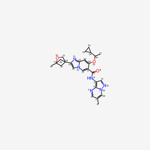 Cc1cnc2c(NC(=O)c3cn4cc(C56COC(C)(C5)C6)nc4cc3OC(C)C3CC3)cnn2c1